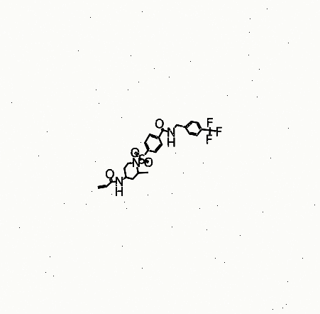 C=CC(=O)NC1CCN(S(=O)(=O)c2ccc(C(=O)NCc3ccc(C(F)(F)F)cc3)cc2)C(C)C1